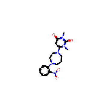 Cn1c(N2CCCN(c3ccccc3[N+](=O)[O-])CC2)cc(=O)n(C)c1=O